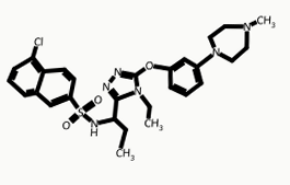 CCC(NS(=O)(=O)c1ccc2c(Cl)cccc2c1)c1nnc(Oc2cccc(N3CCN(C)CC3)c2)n1CC